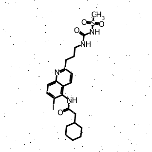 CS(=O)(=O)NC(=O)NCCCc1ccc2c(NC(=O)CC3CCCCC3)c(I)ccc2n1